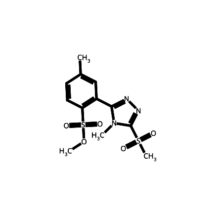 COS(=O)(=O)c1ccc(C)cc1-c1nnc(S(C)(=O)=O)n1C